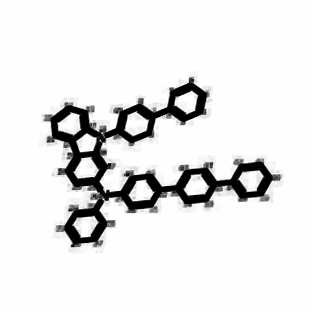 C1=C(c2ccccc2)CCC(n2c3ccccc3c3ccc(N(c4ccccc4)c4ccc(-c5ccc(-c6ccccc6)cc5)cc4)cc32)=C1